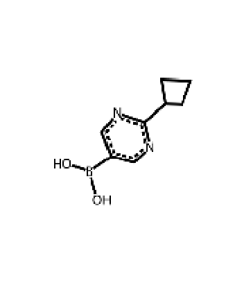 OB(O)c1cnc(C2CCC2)nc1